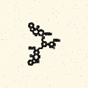 COC(=O)CN(C)c1cc(CCc2cc3c(cc2OC)C(=O)N2c4ccccc4C[C@H]2C=N3)cc(COC2=C(OC)C=C=C3C(=O)N4c5ccccc5CC4C=NC3=C2)c1